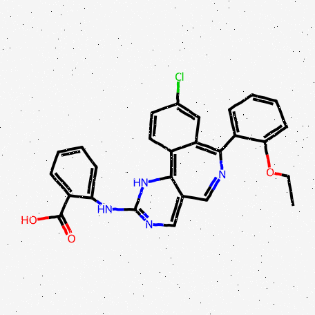 CCOc1ccccc1C1=c2cc(Cl)ccc2=C2NC(Nc3ccccc3C(=O)O)=NC=C2C=N1